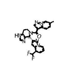 Cc1ccc2c(C(=O)N3CCc4[nH]cnc4[C@H]3c3cc4c(C(F)F)cccn4n3)cnn2c1